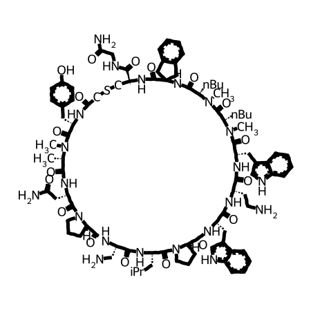 CCCC[C@H]1C(=O)N(C)[C@@H](CCCC)C(=O)NC2(Cc3ccccc3C2)C(=O)N[C@H](C(=O)NCC(N)=O)CSCC(=O)N[C@@H](Cc2ccc(O)cc2)C(=O)N(C)[C@@H](C)C(=O)N[C@@H](CC(N)=O)C(=O)N2CCC[C@H]2C(=O)N[C@@H](CN)C(=O)N[C@@H](CC(C)C)C(=O)N2CCC[C@H]2C(=O)N[C@@H](Cc2c[nH]c3ccccc23)C(=O)N[C@@H](CCN)C(=O)N[C@@H](Cc2c[nH]c3ccccc23)C(=O)N1C